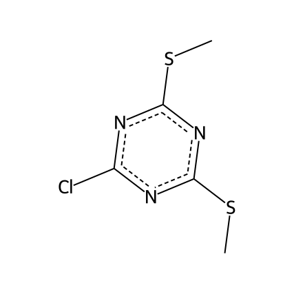 CSc1nc(Cl)nc(SC)n1